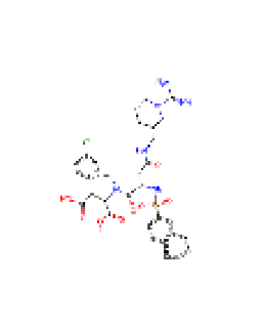 COC(=O)C(CC(=O)O)N(Cc1cccc(Cl)c1)C(=O)[C@H](CC(=O)NC[C@@H]1CCCN(C(=N)N)C1)NS(=O)(=O)c1ccc2ccccc2c1